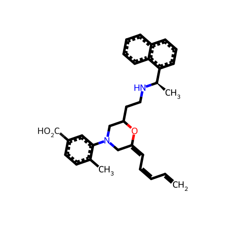 C=C/C=C\C=C1/CN(c2cc(C(=O)O)ccc2C)CC(CCN[C@H](C)c2cccc3ccccc23)O1